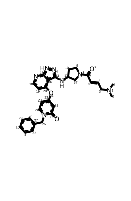 CN(C)CC=CC(=O)N1CCC(Nc2n[nH]c3nccc(Oc4ccn(Cc5ccccc5)c(=O)c4)c23)C1